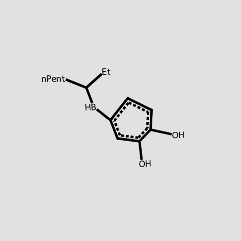 CCCCCC(Bc1ccc(O)c(O)c1)CC